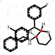 Fc1cccc(C(c2cccc(F)c2)[C@H]2[C@H](NCc3ccccc3)C3CCN2CC3)c1